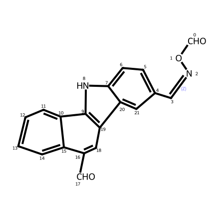 O=CO/N=C\c1ccc2[nH]c3c4ccccc4c(C=O)cc3c2c1